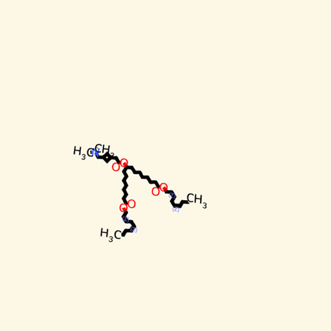 CCC/C=C\C/C=C\COC(=O)CCCCCCCC(CCCCCCCC(=O)OC/C=C\C/C=C\CCC)OC(=O)CC1CC(CN(C)C)C1